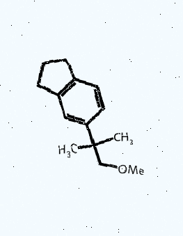 COCC(C)(C)c1ccc2c(c1)CCC2